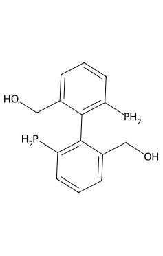 OCc1cccc(P)c1-c1c(P)cccc1CO